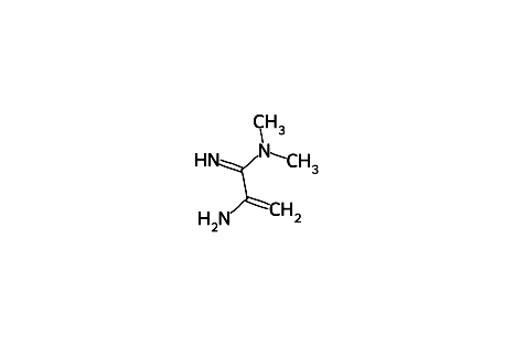 C=C(N)C(=N)N(C)C